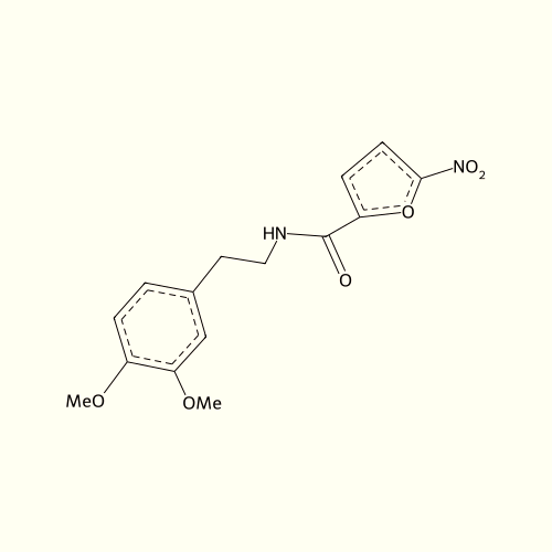 COc1ccc(CCNC(=O)c2ccc([N+](=O)[O-])o2)cc1OC